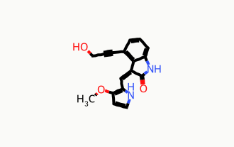 COc1cc[nH]c1/C=C1\C(=O)Nc2cccc(C#CCO)c21